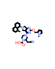 Cc1cccc2cccc(N3Cc4nc(OCc5cccn5C)nc(N5CCN(C(=O)O)C(CC#N)C5)c4C3)c12